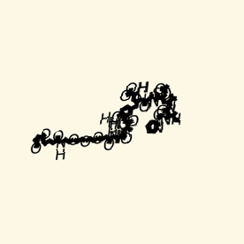 CCC(C)C(NC(=O)[C@H]1CCCCN1C)C(=O)N(C)C(CC(OC(C)=O)c1nc(C(=O)NC(Cc2ccc(O)c(NC(=O)C(C)NC(=O)C(C)NC(=O)CCOCCOCCOCCNC(=O)CCCN3C(=O)C=CC3=O)c2)CC(C)C(=O)O)cs1)C(C)C